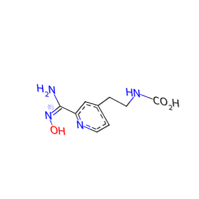 N/C(=N/O)c1cc(CCNC(=O)O)ccn1